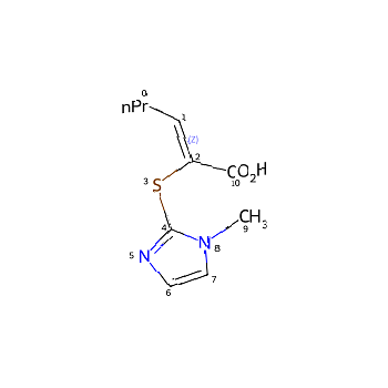 CCC/C=C(\Sc1nccn1C)C(=O)O